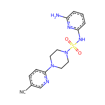 N#Cc1ccc(N2CCN(S(=O)(=O)Nc3cccc(N)n3)CC2)nc1